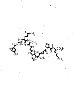 CC(C)C[C@H](NC(=O)CNC(=O)[C@H](C)NC(=O)[C@H](CCC(N)=O)NC(=O)CNC(=O)[C@@H]1C[C@@H](O)CN1)C(=O)N[C@@H](C)C(=O)NCC(=O)N1CCC[C@H]1C(=O)N[C@@H](CCCCN)C(=O)O